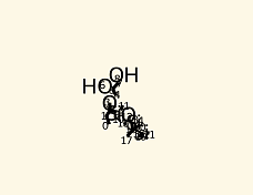 CCC(OCC(O)CO)[Si](C)(C)O[Si](C)(C)C(C)[Si](C)(C)C